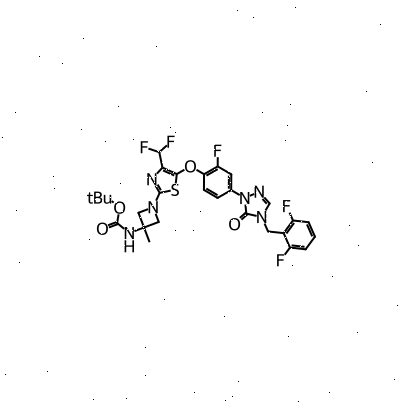 CC1(NC(=O)OC(C)(C)C)CN(c2nc(C(F)F)c(Oc3ccc(-n4ncn(Cc5c(F)cccc5F)c4=O)cc3F)s2)C1